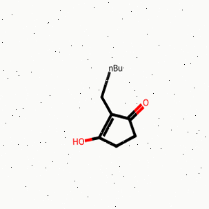 CCCCCC1=C(O)CCC1=O